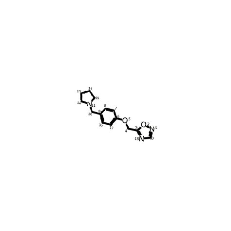 [c]1noc(COc2ccc(CN3CCCC3)cc2)n1